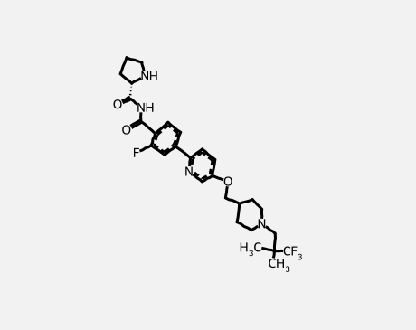 CC(C)(CN1CCC(COc2ccc(-c3ccc(C(=O)NC(=O)[C@@H]4CCCN4)c(F)c3)nc2)CC1)C(F)(F)F